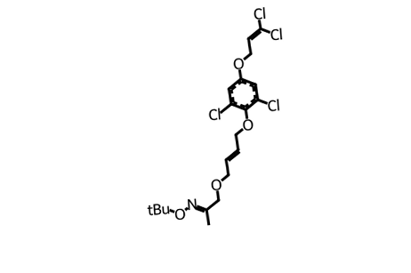 CC(COCC=CCOc1c(Cl)cc(OCC=C(Cl)Cl)cc1Cl)=NOC(C)(C)C